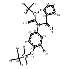 CC(C)(C)OC(=O)N(C(=O)c1cccs1)c1ccc(O[Si](C)(C)C(C)(C)C)c(Br)c1